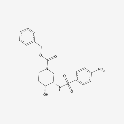 O=C(OCc1ccccc1)N1CC[C@@H](O)[C@@H](NS(=O)(=O)c2ccc([N+](=O)[O-])cc2)C1